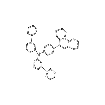 c1ccc(-c2cccc(N(c3ccc(-c4cc5ccccc5c5ccccc45)cc3)c3cccc(-c4ccccc4)c3)c2)cc1